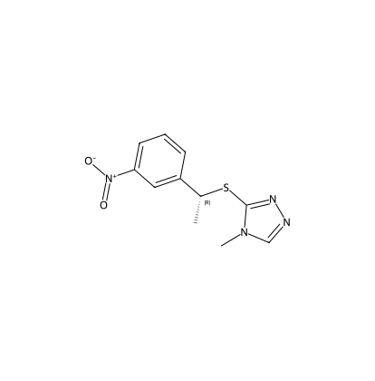 C[C@@H](Sc1nncn1C)c1cccc([N+](=O)[O-])c1